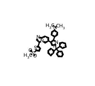 CN(C)c1ccc(-c2nn(C(c3ccccc3)(c3ccccc3)c3ccccc3)cc2-c2ccc3ncc(-c4ccc(S(C)(=O)=O)s4)n3c2)cc1